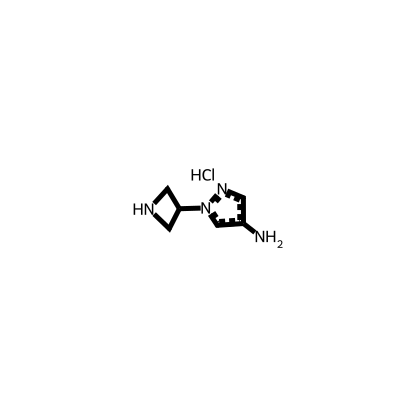 Cl.Nc1cnn(C2CNC2)c1